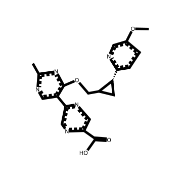 COc1ccc([C@@H]2CC2COc2nc(C)ncc2-c2cnc(C(=O)O)cn2)nc1